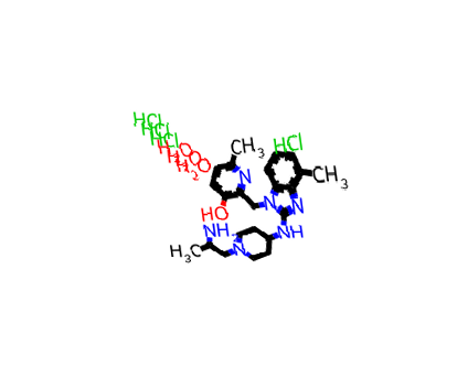 Cc1ccc(O)c(Cn2c(NC3CCN(CC(C)N)CC3)nc3c(C)cccc32)n1.Cl.Cl.Cl.Cl.O.O.O